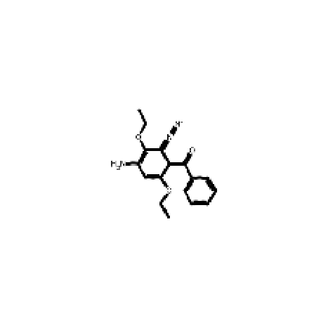 CCOC1=CC(N)=C(OCC)C(=[N+]=[N-])C1C(=O)c1ccccc1